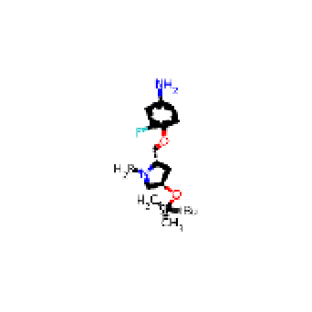 BN1C[C@H](O[Si](C)(C)C(C)(C)C)C[C@H]1COc1ccc(N)cc1F